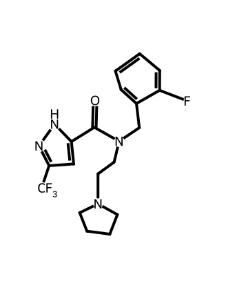 O=C(c1cc(C(F)(F)F)n[nH]1)N(CCN1CCCC1)Cc1ccccc1F